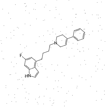 Fc1cc(CCCCN2CC=C(c3ccccc3)CC2)c2cc[nH]c2c1